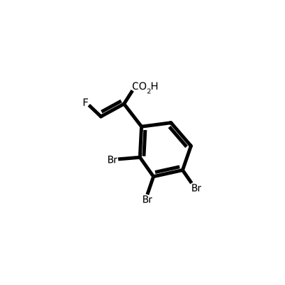 O=C(O)C(=CF)c1ccc(Br)c(Br)c1Br